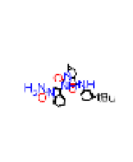 CC(C)(C)c1cccc(NC(=O)[C@@H]2CC3CC3N2C(=O)Nc2cn(C(N)=O)c3ccccc23)c1